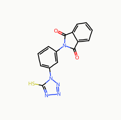 O=C1c2ccccc2C(=O)N1c1cccc(-n2nnnc2S)c1